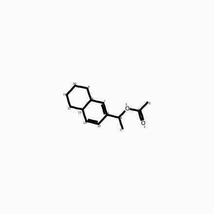 CC(=O)OC(C)C1=CC2CCCCC2C=C1